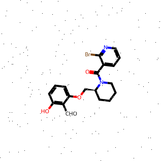 O=Cc1c(O)cccc1OC[C@@H]1CCCCN1C(=O)c1cccnc1Br